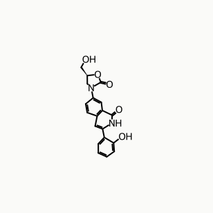 O=C1O[C@H](CO)CN1c1ccc2cc(-c3ccccc3O)[nH]c(=O)c2c1